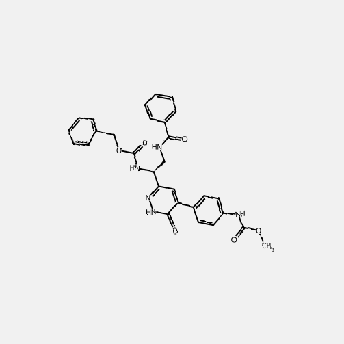 COC(=O)Nc1ccc(-c2cc([C@H](CNC(=O)c3ccccc3)NC(=O)OCc3ccccc3)n[nH]c2=O)cc1